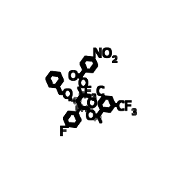 C[C@@H](O[C@H]1OC[C@H](COC(=O)c2ccc([N+](=O)[O-])cc2)[C@@H](COCc2ccccc2)[C@@H]1c1ccc(F)cc1)c1cc(C(F)(F)F)cc(C(F)(F)F)c1